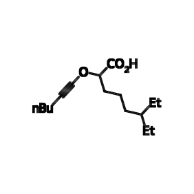 CCCCC#COC(CCCC(CC)CC)C(=O)O